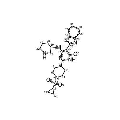 O=c1[nH]c(C2CCN(S(=O)(=O)C3CC3)CC2)nc(N[C@@H]2CCCNC2)c1-c1nc2ccccc2s1